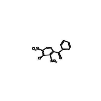 O=C(c1ccccc1)c1ccc([N+](=O)[O-])c(Cl)c1[N+](=O)[O-]